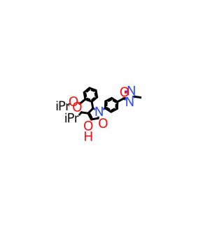 Cc1noc(-c2ccc(N3C(=O)C(O)=C(C(=O)C(C)C)C3c3ccccc3COC(C)C)cc2)n1